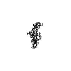 CCc1cccc2c1c(S(=O)(=O)NC1CCN(C(=O)OC(C)(C)C)CC1)cn2S(=O)(=O)c1ccccc1